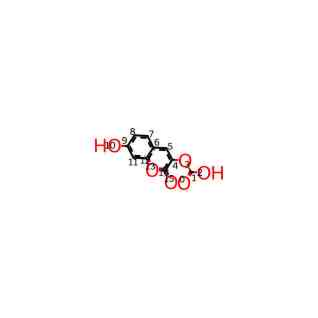 O=C(O)Oc1cc2ccc(O)cc2oc1=O